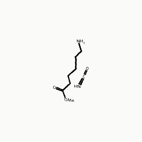 COC(=O)CCCCCN.N=C=O